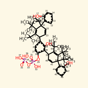 CC(C)(C)C1=C(C(C)(C)C)C(c2ccccc2O)(C(C)(C)C)C=CC1c1ccc(OP(=O)(O)OP(=O)(O)O)c(C2C=CC(c3ccccc3O)(C(C)(C)C)C(C(C)(C)C)=C2C(C)(C)C)c1O